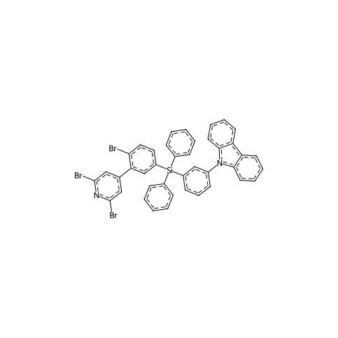 Brc1cc(-c2cc([Si](c3ccccc3)(c3ccccc3)c3cccc(-n4c5ccccc5c5ccccc54)c3)ccc2Br)cc(Br)n1